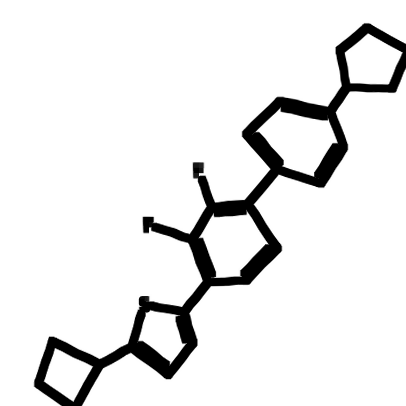 Fc1c(-c2ccc(C3CCCC3)cc2)ccc(-c2ccc(C3CCC3)s2)c1F